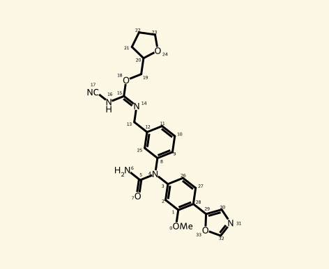 COc1cc(N(C(N)=O)c2cccc(C/N=C(\NC#N)OCC3CCCO3)c2)ccc1-c1cnco1